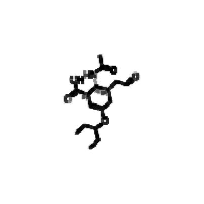 CCC(CC)OC1=C[C@@H](C(=O)O)[C@H](NC(C)=O)[C@@H](CC=O)C1